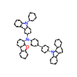 c1ccc(-n2c3ccccc3c3cc(N(c4ccc(-c5ccc(-n6c7ccccc7c7ccc8ccccc8c76)cc5)cc4)c4cccc5c4oc4ccccc45)ccc32)cc1